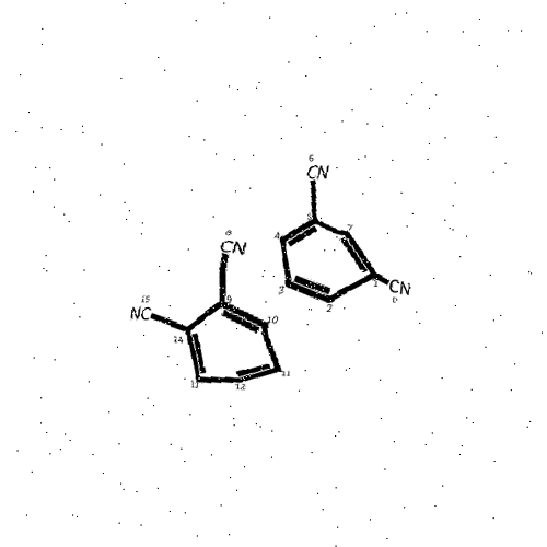 N#Cc1cccc(C#N)c1.N#Cc1ccccc1C#N